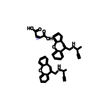 C#CC(C)NCC1=Cc2ccccc2Oc2ccccc21.C#CC(C)NCC1=Cc2ccccc2Oc2ccccc21.O=C(O)/C=C\C(=O)O